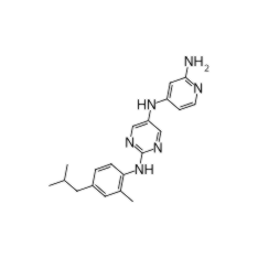 Cc1cc(CC(C)C)ccc1Nc1ncc(Nc2ccnc(N)c2)cn1